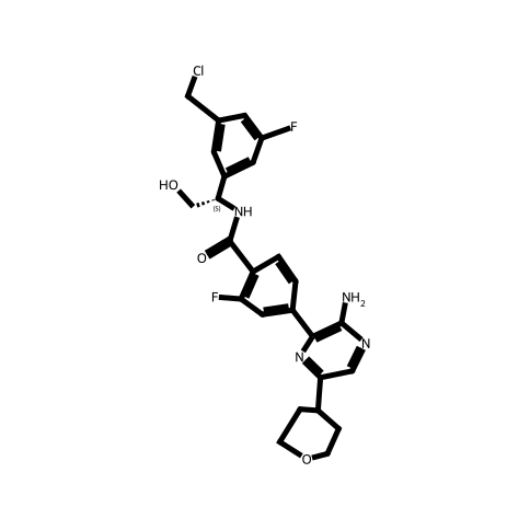 Nc1ncc(C2CCOCC2)nc1-c1ccc(C(=O)N[C@H](CO)c2cc(F)cc(CCl)c2)c(F)c1